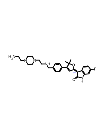 CC1(C)O/C(=C2/C(=O)Nc3cc(F)ccc32)C=C1c1ccc(CNCCN2CCN(CCN)CC2)cc1